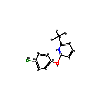 CC(C)(C)c1cccc(Oc2ccc(Cl)cc2)n1